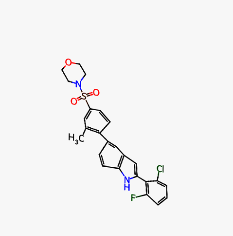 Cc1cc(S(=O)(=O)N2CCOCC2)ccc1-c1ccc2[nH]c(-c3c(F)cccc3Cl)cc2c1